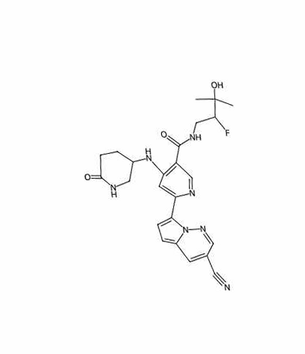 CC(C)(O)C(F)CNC(=O)c1cnc(-c2ccc3cc(C#N)cnn23)cc1NC1CCC(=O)NC1